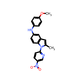 COc1ccc(Nc2ccc3c(c2)cc(C)n3-c2ccc([N+](=O)[O-])cn2)cc1